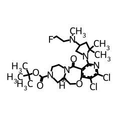 CN(CCF)C1CN(c2nc(Cl)c(Cl)c3c2C(=O)N2CCN(C(=O)OC(C)(C)C)C[C@@H]2CO3)C(C)(C)C1